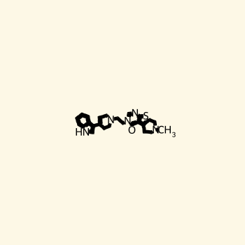 CN1CCc2c(sc3ncn(CCN4CC=C(c5c[nH]c6ccccc56)CC4)c(=O)c23)C1